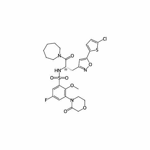 COc1c(N2CCOCC2=O)cc(F)cc1S(=O)(=O)N[C@@H](Cc1cc(-c2ccc(Cl)s2)on1)C(=O)N1CCCCCC1